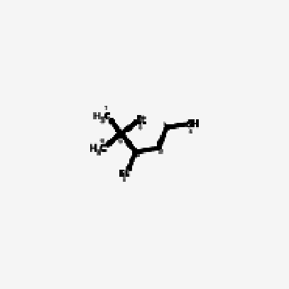 CCC(CCS)C(C)(C)CC